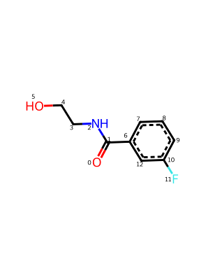 O=C(NCCO)c1cccc(F)c1